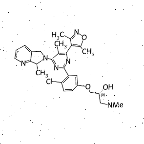 CNC[C@@H](O)COc1ccc(Cl)c(-c2nc(-c3c(C)noc3C)c(C)c(N3Cc4cccnc4C3C)n2)c1